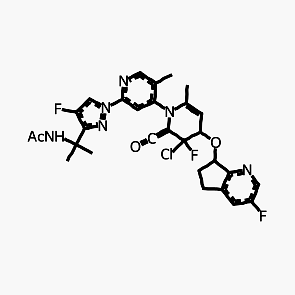 CC(=O)NC(C)(C)c1nn(-c2cc(N3C(=C=O)C(F)(Cl)C(OC4CCc5cc(F)cnc54)C=C3C)c(C)cn2)cc1F